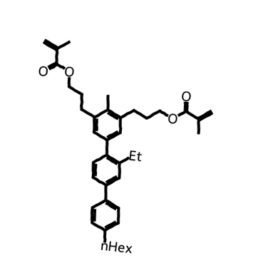 C=C(C)C(=O)OCCCc1cc(-c2ccc(-c3ccc(CCCCCC)cc3)cc2CC)cc(CCCOC(=O)C(=C)C)c1C